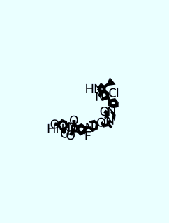 CC(COC1CCN(c2cc3c(cc2F)C(=O)N(C2CCC(=O)NC2=O)C3=O)CC1)N1CCN(c2cccc(-c3cnc4[nH]cc(C5CC5)c4c3Cl)c2)C(=O)C1